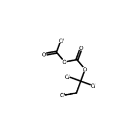 O=C(Cl)OC(=O)OC(Cl)(Cl)CCl